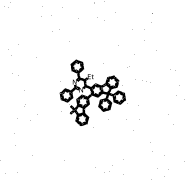 CCC1C(c2ccccc2)=NC(c2ccccc2)=NC1c1cc2c(cc1-c1ccc3c(c1)-c1ccccc1C3(C)C)C(c1ccccc1)(c1ccccc1)c1ccccc1-2